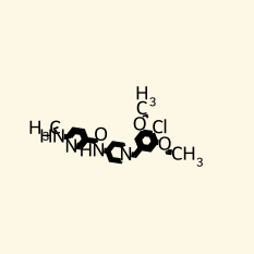 CCOc1cc(CN2CCC(NC(=O)c3ccc(NC)nc3)CC2)cc(OCC)c1Cl